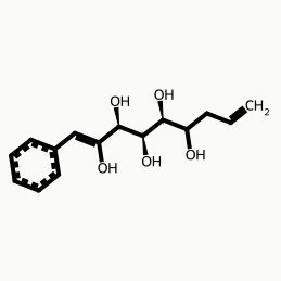 C=CCC(O)[C@H](O)[C@@H](O)[C@H](O)C(O)=Cc1ccccc1